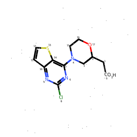 O=C(O)CC1CN(c2nc(Cl)nc3ccsc23)CCO1